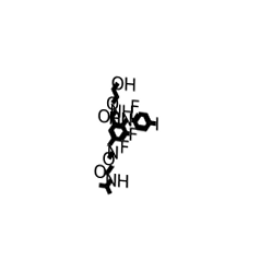 CC(C)NC(=O)CO/N=C/c1cc(C(=O)NOCCO)c(Nc2ccc(I)cc2F)c(F)c1F